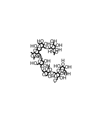 CCC1OC(CO)C(CC2OC(C)C(O)C(O)C2COCC2OC(CO)C(O)C(O)C2NC(C)=O)C(COCC2OC(CO)C(COCC3OCC(O)C(COCC4OC(COC)C(O)C(O)C4OC4OC(CO)C(O)C(O)C4O)C3OC(C)=O)C(O)C2O)C1NC(C)=O